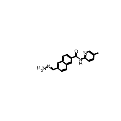 Cc1ccc(NC(=O)c2ccc3cc(C=NN)ccc3c2)nc1